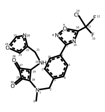 CN(Cc1ccc(-c2noc(C(F)(F)Cl)n2)cc1)c1c(NCc2cocn2)c(=O)c1=O